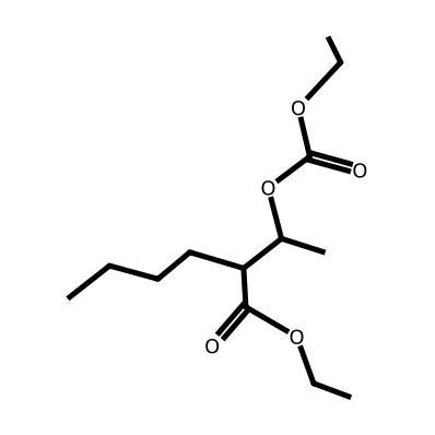 CCCCC(C(=O)OCC)C(C)OC(=O)OCC